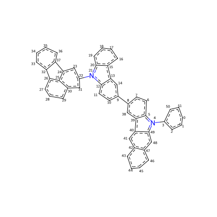 c1ccc(-n2c3ccc(-c4ccc5c(c4)c4ccccc4n5-c4cc5c6c(cccc6c4)-c4ccccc4-5)cc3c3cc4ccccc4cc32)cc1